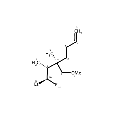 C=CCC[C@@](C)(COC)[C@@H](C)[C@@H](F)CC